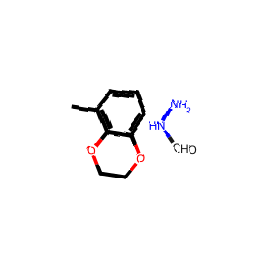 Cc1cccc2c1OCCO2.NNC=O